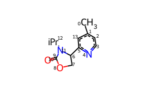 Cc1ccnc(C2COC(=O)N2C(C)C)c1